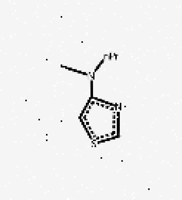 CCCN(C)c1cs[c]n1